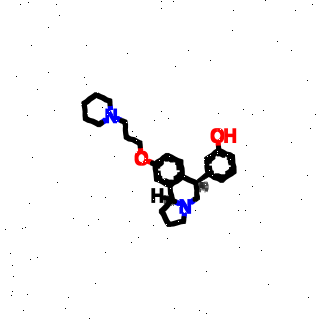 Oc1cccc([C@H]2CN3CCC[C@@H]3c3cc(OCCCN4CCCCC4)ccc32)c1